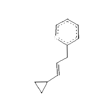 C(=CC1CC1)Cc1ccccn1